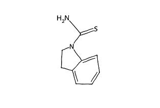 NC(=S)N1CCc2ccccc21